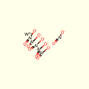 [O]=[Al][O-].[O]=[Al][O-].[O]=[Al][O-].[O]=[Al][O-].[O]=[Al][O-].[O]=[Al][O-].[W+6]